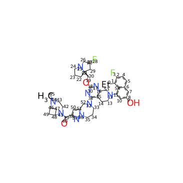 CCc1c(F)ccc2cc(O)cc(N3CCc4c(nc(OC[C@@]56CCCN5C[C@H](F)C6)nc4N4CCCn5nc(C(=O)N6CCN(C)C7CC6C7)cc5C4)C3)c12